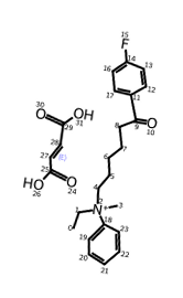 CC[N+](C)(CCCCCC(=O)c1ccc(F)cc1)c1ccccc1.O=C(O)/C=C/C(=O)O